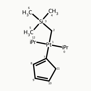 C[CH](C)[Pt]([CH2][Si](C)(C)C)([C]1=CC=CC1)[CH](C)C